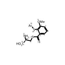 COc1cccc(C(=S)SC[C@H](N)C(=O)O)c1SC(C)=O